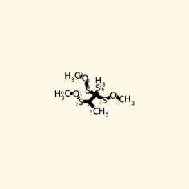 COSC(C)C([SiH3])(SOC)SOC